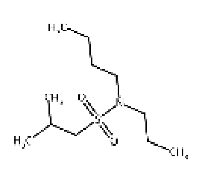 CCCCN(CCC)S(=O)(=O)CC(C)C